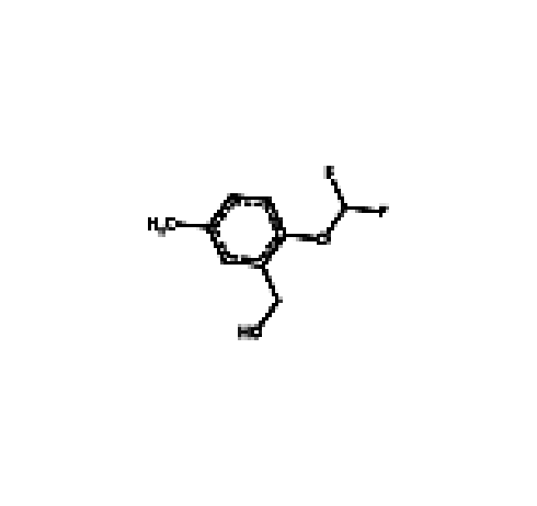 Cc1ccc(OC(F)F)c(CO)c1